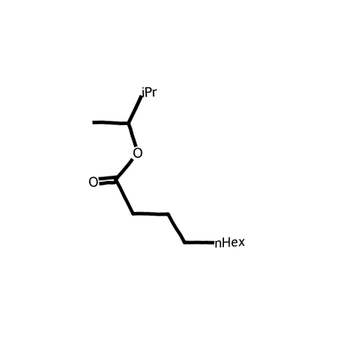 CCCCCCCCCC(=O)OC(C)C(C)C